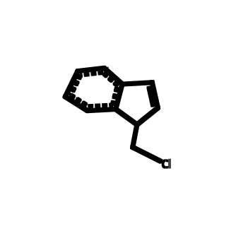 ClCC1C=Cc2[c]cccc21